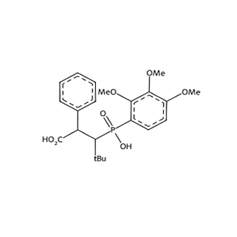 COc1ccc(P(=O)(O)C(C(C(=O)O)c2ccccc2)C(C)(C)C)c(OC)c1OC